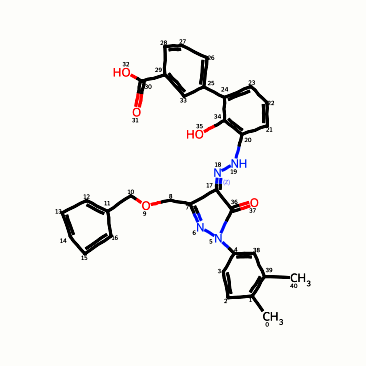 Cc1ccc(N2N=C(COCc3ccccc3)/C(=N/Nc3cccc(-c4cccc(C(=O)O)c4)c3O)C2=O)cc1C